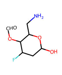 NCC1OC(O)CC(F)C1OC=O